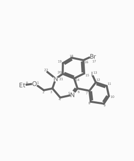 CCOCC1CN=C(c2ccccc2I)c2cc(Br)ccc2N1C